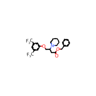 O=C(CC(COc1cc(C(F)(F)F)cc(C(F)(F)F)c1)N1CCCCC1)OCc1ccccc1